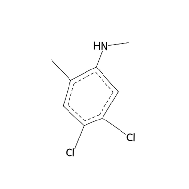 CNc1cc(Cl)c(Cl)cc1C